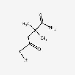 CCOC(=O)CC(C)(C)C(N)=O